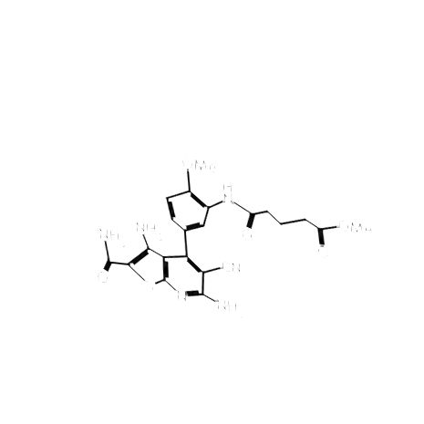 COC(=O)CCCC(=O)Nc1cc(-c2c(C#N)c(N)nc3sc(C(N)=O)c(N)c23)ccc1OC